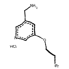 CC(C)CCOc1cncc(CN)c1.Cl